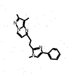 Cc1nn2ccc(CCc3nc(-c4ccccc4)cn3C)nc2c1C